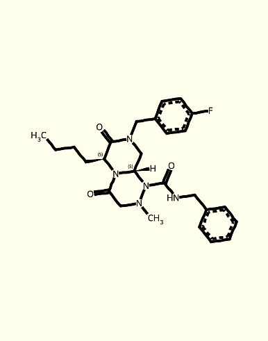 CCCC[C@H]1C(=O)N(Cc2ccc(F)cc2)C[C@H]2N1C(=O)CN(C)N2C(=O)NCc1ccccc1